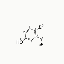 Oc1ccc(Br)c(CF)c1